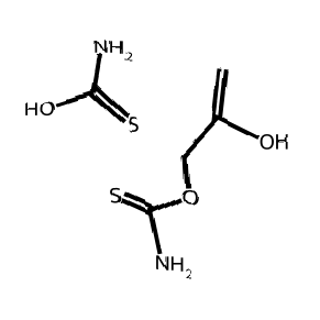 C=C(O)COC(N)=S.NC(O)=S